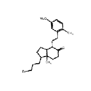 COc1ccc(C)c(CC[C@@H]2C(=O)CCC3(C)C(CCCC(C)C)CCC23)c1